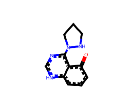 O=c1cccc2[nH][c]nc(N3CCCN3)c1-2